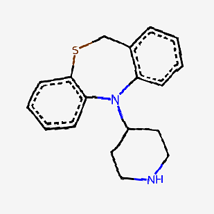 c1ccc2c(c1)CSc1ccccc1N2C1CCNCC1